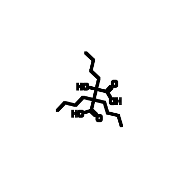 CCCCC(O)(C(=O)O)C(CCCC)(CCCC)C(=O)O